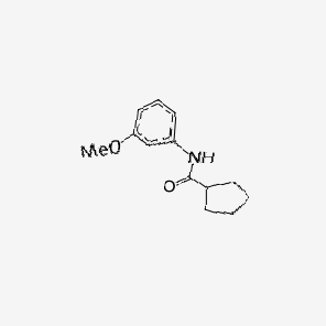 COc1cccc(NC(=O)C2CCCC2)c1